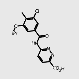 Cc1c(Cl)cc(C(=O)Nc2ccc(C(=O)O)nn2)cc1OC(C)C